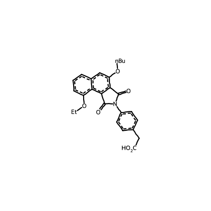 CCCCOc1cc2cccc(OCC)c2c2c1C(=O)N(c1ccc(CC(=O)O)cc1)C2=O